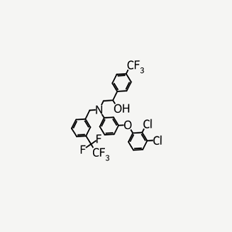 OC(CN(Cc1cccc(C(F)(F)C(F)(F)F)c1)c1cccc(Oc2cccc(Cl)c2Cl)c1)c1ccc(C(F)(F)F)cc1